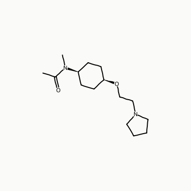 CC(=O)N(C)[C@H]1CC[C@@H](OCCN2CCCC2)CC1